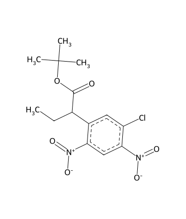 CCC(C(=O)OC(C)(C)C)c1cc(Cl)c([N+](=O)[O-])cc1[N+](=O)[O-]